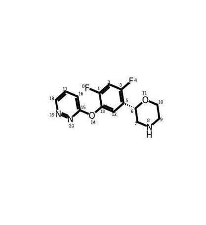 Fc1cc(F)c([C@H]2CNCCO2)cc1Oc1cccnn1